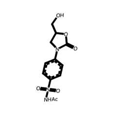 CC(=O)NS(=O)(=O)c1ccc(N2CC(CO)OC2=O)cc1